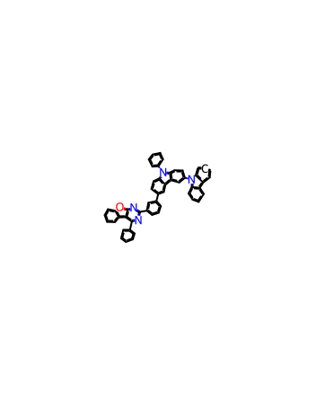 c1ccc(-c2nc(-c3cccc(-c4ccc5c(c4)c4cc(-n6c7ccccc7c7ccccc76)ccc4n5-c4ccccc4)c3)nc3oc4ccccc4c23)cc1